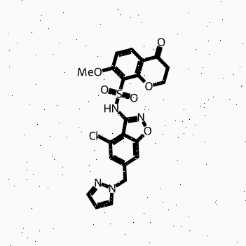 COc1ccc2c(c1S(=O)(=O)Nc1noc3cc(Cn4cccn4)cc(Cl)c13)OCCC2=O